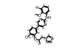 COc1c(F)cccc1Nc1ncc(-c2ccc(Cl)c(OC(C)Cn3cnnn3)c2)cn1